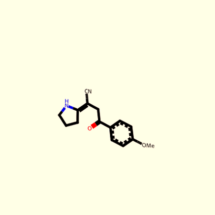 COc1ccc(C(=O)CC(C#N)=C2CCCN2)cc1